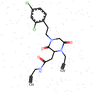 C#CCNC(=O)CC1C(=O)N(CCc2ccc(Cl)cc2Cl)CC(=O)N1CC#C